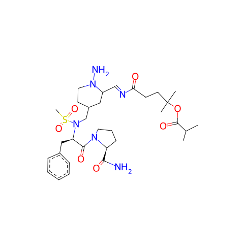 CC(C)C(=O)OC(C)(C)CCC(=O)N=CC1CC(CN([C@H](Cc2ccccc2)C(=O)N2CCC[C@H]2C(N)=O)S(C)(=O)=O)CCN1N